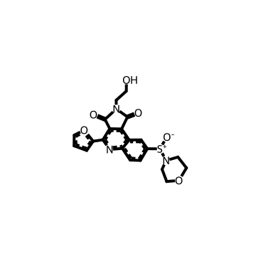 O=C1c2c(-c3ccco3)nc3ccc([S+]([O-])N4CCOCC4)cc3c2C(=O)N1CCO